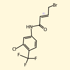 O=C(/C=C/CBr)Nc1ccc(C(F)(F)F)c(Cl)c1